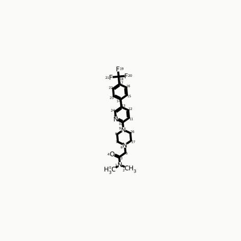 CN(C)C(=O)CN1CCN(c2ccc(-c3ccc(C(F)(F)F)cc3)cn2)CC1